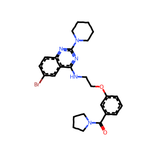 O=C(c1cccc(OCCNc2nc(N3CCCCC3)nc3ccc(Br)cc23)c1)N1CCCC1